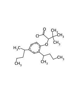 CCCC(C)c1ccc(OC(C(=O)Cl)C(C)(C)C)c(C(C)CCC)c1